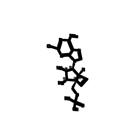 CNc1nc(Cl)nc2c1ncn2[C@H]1[C@H](O)[C@H](O)[C@]2(COP(=O)(O)O)C=C[C@H]12